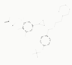 Cc1cc(C2CC2C(OCCC2CCCCC2)c2ccc(OC(F)(F)F)cc2)cc(C)c1OC(C)(C)C(=O)O